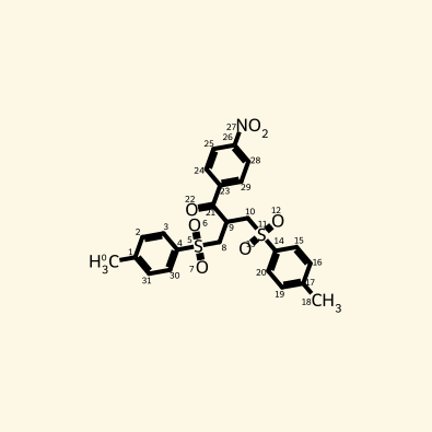 Cc1ccc(S(=O)(=O)CC(CS(=O)(=O)c2ccc(C)cc2)C(=O)c2ccc([N+](=O)[O-])cc2)cc1